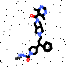 CCCNC(=O)N1CCC(C(CCN2CC3CN(C(=O)c4c(C)ncnc4C)CC3C2)c2ccccc2)CC1